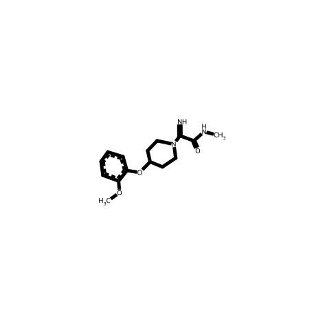 CNC(=O)C(=N)N1CCC(Oc2ccccc2OC)CC1